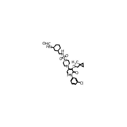 CC1(COc2c(N3CCN(S(=O)(=O)NCC4CCCC(NC=O)C4)CC3)cnn(-c3cccc(Cl)c3)c2=O)CC1